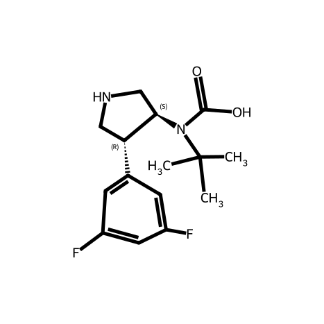 CC(C)(C)N(C(=O)O)[C@@H]1CNC[C@H]1c1cc(F)cc(F)c1